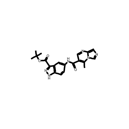 Cc1c(C(=O)Nc2ccc3[nH]nc(C(=O)OC(C)(C)C)c3c2)cnc2cncn12